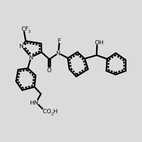 O=C(O)NCc1cccc(-n2nc(C(F)(F)F)cc2C(=O)N(F)c2cccc(C(O)c3ccccc3)c2)c1